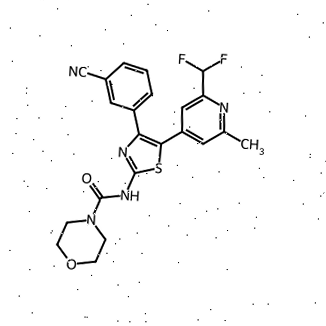 Cc1cc(-c2sc(NC(=O)N3CCOCC3)nc2-c2cccc(C#N)c2)cc(C(F)F)n1